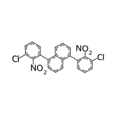 O=[N+]([O-])c1c(Cl)cccc1-c1cccc2c(-c3cccc(Cl)c3[N+](=O)[O-])cccc12